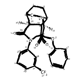 O=C1[C@@H]2C3CCC(CN3C(=O)Oc3ccccc3)[C@@H]2C(=O)N1c1cccc(C(F)(F)F)c1